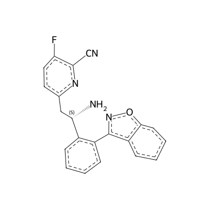 N#Cc1nc(C[C@H](N)c2ccccc2-c2noc3ccccc23)ccc1F